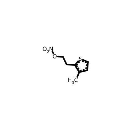 Cc1ccsc1CCO[N+](=O)[O-]